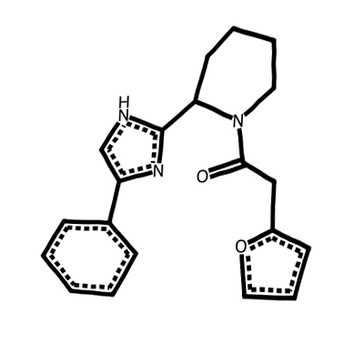 O=C(Cc1ccco1)N1CCCCC1c1nc(-c2ccccc2)c[nH]1